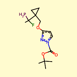 CC(C)(C)OC(=O)n1ccc(OCC2(C(C)(F)P)CC2)n1